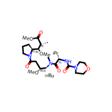 CC[C@H](C)[C@@H]([C@@H](CC(=O)N1CCC[C@H]1[C@H](OC)[C@@H](C)C(=O)OC)OC)N(C)C(=O)[C@@H](NC(=O)N1CCOCC1)C(C)C